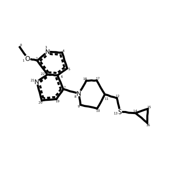 COc1nccc2c(N3CCC(CSC4CC4)CC3)ccnc12